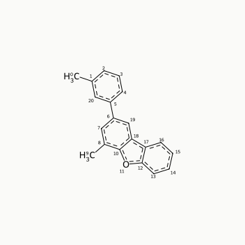 Cc1cccc(-c2cc(C)c3oc4ccccc4c3c2)c1